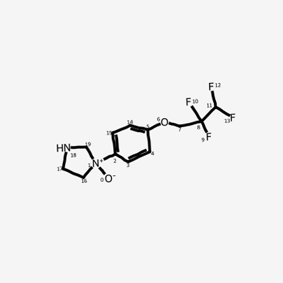 [O-][N+]1(c2ccc(OCC(F)(F)C(F)F)cc2)CCNC1